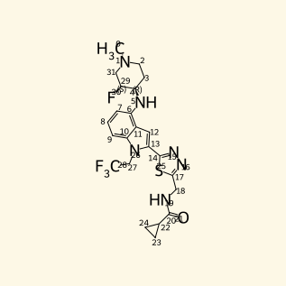 CN1CC[C@@H](Nc2cccc3c2cc(-c2nnc(CNC(=O)C4CC4)s2)n3CC(F)(F)F)[C@@H](F)C1